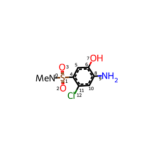 CNS(=O)(=O)c1cc(O)c(N)cc1Cl